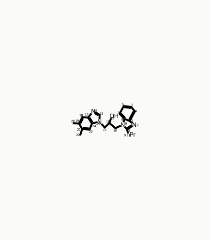 CCCc1nc2ccccc2n1CC(O)Cn1cnc2cc(C)c(C)cc21